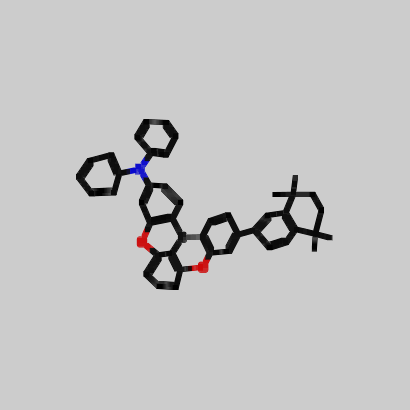 CC1(C)CCC(C)(C)c2cc(-c3ccc4c(c3)Oc3cccc5c3B4c3ccc(N(c4ccccc4)c4ccccc4)cc3O5)ccc21